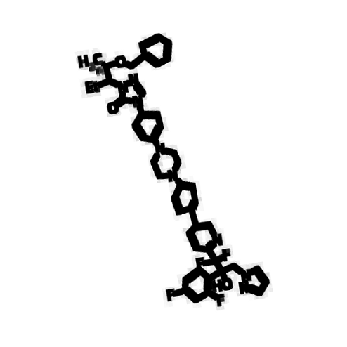 CCC([C@H](C)OCc1ccccc1)n1ncn(-c2ccc(N3CCN(c4ccc(-c5ccc(C(F)(F)C(O)(Cn6cccn6)c6ccc(F)cc6F)nc5)cc4)CC3)cc2)c1=O